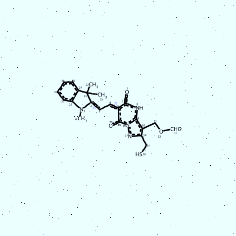 CN1/C(=C/C=c2/c(=O)[nH]c3c(COC=O)c(CS)nn3c2=O)C(C)(C)c2ccccc21